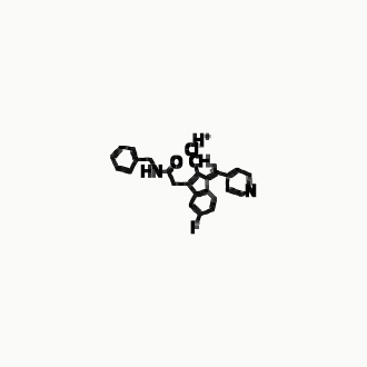 CC1=C(CC(=O)NCc2ccccc2)c2cc(F)ccc2/C1=C\c1ccncc1.[Cl-].[H+]